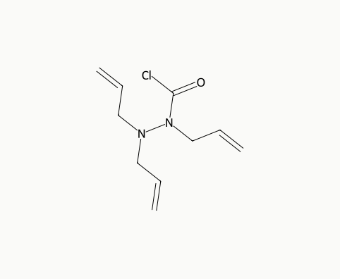 C=CCN(CC=C)N(CC=C)C(=O)Cl